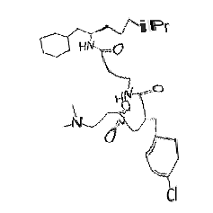 CC(C)CCC[C@H](CC1CCCCC1)NC(=O)CCNC(=O)[C@H](CC1=CC=C(Cl)CC1)CS(=O)(=O)CCN(C)C